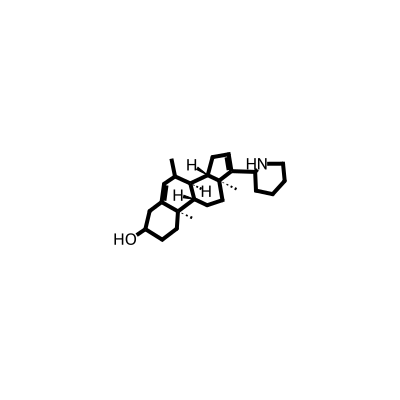 CC1C=C2CC(O)CC[C@]2(C)[C@H]2CC[C@]3(C)C(C4CCCCN4)=CC[C@H]3[C@H]12